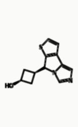 O[C@H]1C[C@@H](C2c3sccc3-c3cncn32)C1